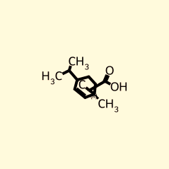 CC(C)C12C=C[C@@](C)(CC1)C(C(=O)O)C2